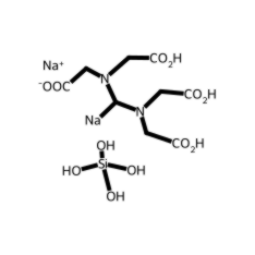 O=C([O-])CN(CC(=O)O)[CH]([Na])N(CC(=O)O)CC(=O)O.O[Si](O)(O)O.[Na+]